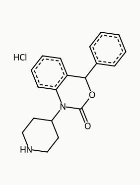 Cl.O=C1OC(c2ccccc2)c2ccccc2N1C1CCNCC1